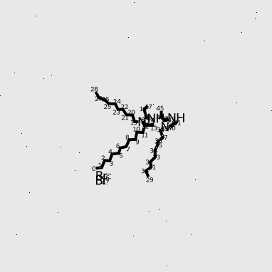 CCCCCCCCCCCCc1c[nH]c(CC)[n+]1CCCCCCCCCC.CCCCCCCCCC[n+]1cc[nH]c1CC.[Br-].[Br-]